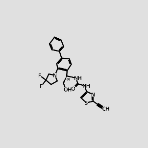 C#Cc1nc(NC(=O)N[C@@H](CO)c2ccc(-c3ccccc3)cc2N2CCC(F)(F)C2)cs1